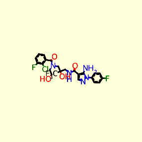 Nc1c(C(=O)NCC(O)(CN(CCO)C(=O)c2cccc(F)c2Cl)C(F)(F)F)cnn1-c1ccc(F)cc1